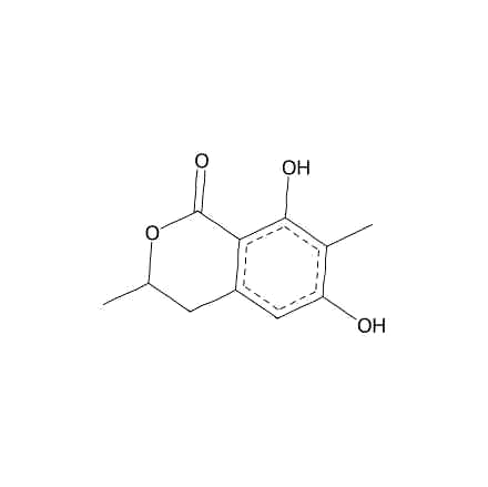 Cc1c(O)cc2c(c1O)C(=O)OC(C)C2